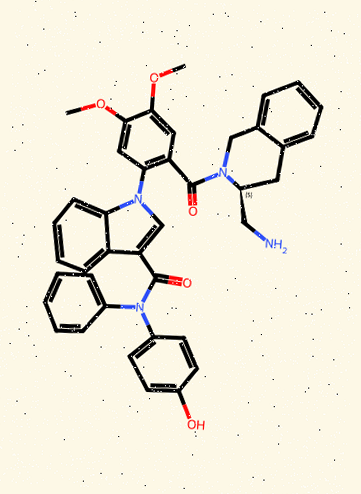 COc1cc(C(=O)N2Cc3ccccc3C[C@H]2CN)c(-n2cc(C(=O)N(c3ccccc3)c3ccc(O)cc3)c3ccccc32)cc1OC